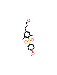 COc1ccc(S(=O)(=O)c2c(C)cc(CCC=O)cc2C)cc1